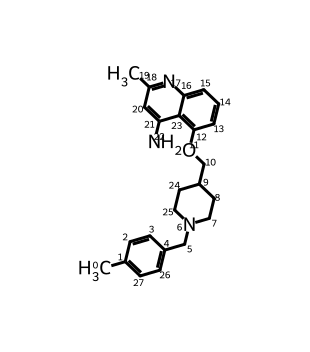 Cc1ccc(CN2CCC(COc3cccc4nc(C)cc(N)c34)CC2)cc1